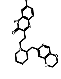 COc1ccc2nc(CCN3CC[CH]CC3Cc3cc4c(cn3)OCCO4)c(=O)[nH]c2c1